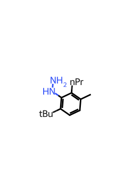 CCCc1c(C)ccc(C(C)(C)C)c1NN